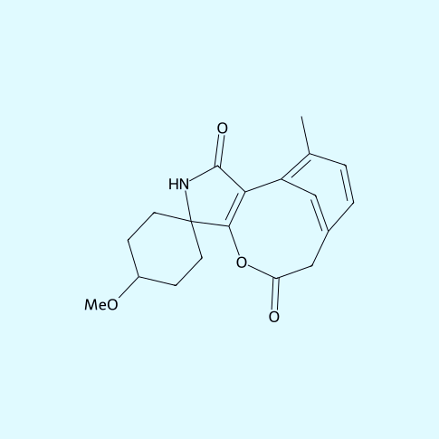 COC1CCC2(CC1)NC(=O)C1=C2OC(=O)Cc2ccc(C)c1c2